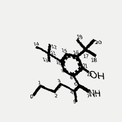 CCCCC(C)C(=N)c1cc(C(C)(C)C)cc(C(C)(C)C)c1O